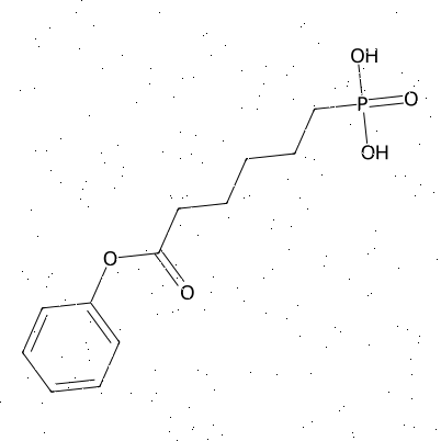 O=C(CCCCCP(=O)(O)O)Oc1ccccc1